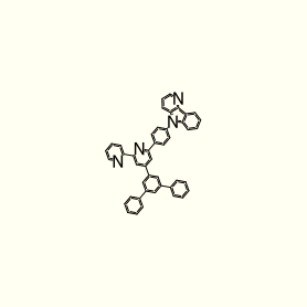 c1ccc(-c2cc(-c3ccccc3)cc(-c3cc(-c4ccc(-n5c6ccccc6c6ncccc65)cc4)nc(-c4ccccn4)c3)c2)cc1